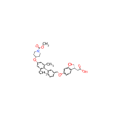 COC(=O)N1CCC(Oc2cc(C)c(-c3cccc(COc4ccc5c(c4)OCC5CC(=O)O)c3)c(C)c2)CC1